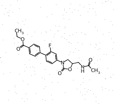 CCOC(=O)c1ccc(-c2ccc(N3CC(CNC(C)=O)OC3=O)cc2F)cc1